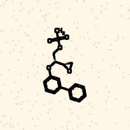 CS(=O)(=O)OC[C@@H](Oc1cccc(-c2ccccc2)c1)[C@@H]1CO1